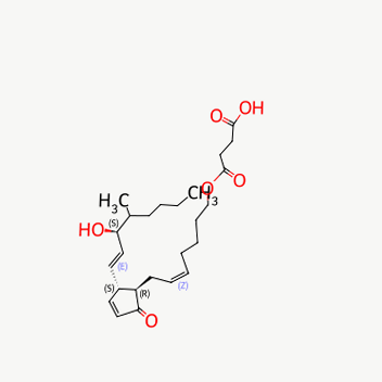 CCCCC(C)[C@H](O)/C=C/[C@H]1C=CC(=O)[C@@H]1C/C=C\CCCCOC(=O)CCC(=O)O